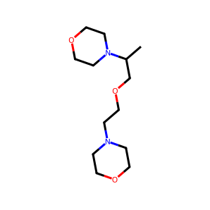 CC(COCCN1CCOCC1)N1CCOCC1